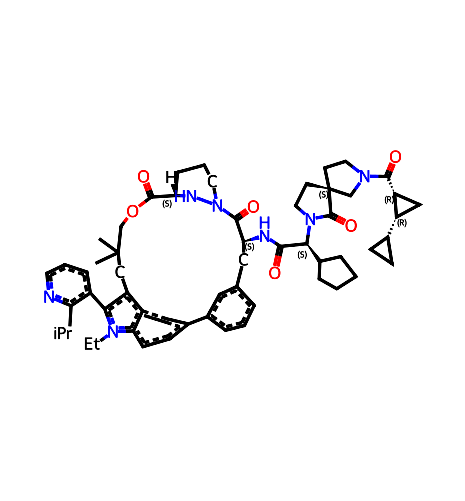 CCn1c(-c2cccnc2C(C)C)c2c3cc(ccc31)-c1cccc(c1)C[C@H](NC(=O)[C@H](C1CCCC1)N1CC[C@]3(CCN(C(=O)[C@@H]4C[C@@H]4C4CC4)C3)C1=O)C(=O)N1CCC[C@H](N1)C(=O)OCC(C)(C)C2